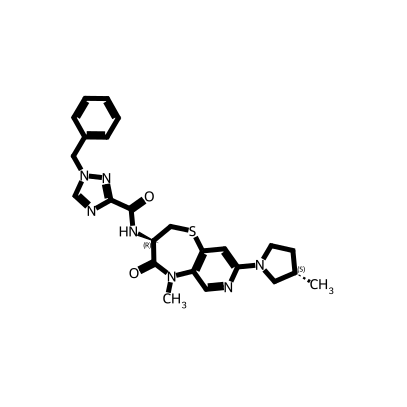 C[C@H]1CCN(c2cc3c(cn2)N(C)C(=O)[C@@H](NC(=O)c2ncn(Cc4ccccc4)n2)CS3)C1